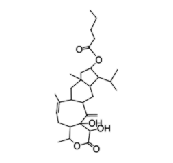 C=C1C2CC3C(C(C)C)C(OC(=O)CCCC)CC3(C)CC2C(C)=CCC2C(C)OC(=O)C(O)C12O